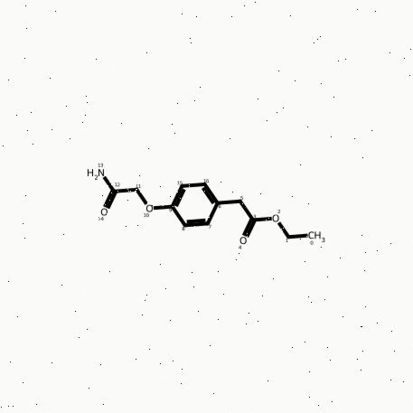 CCOC(=O)Cc1ccc(OCC(N)=O)cc1